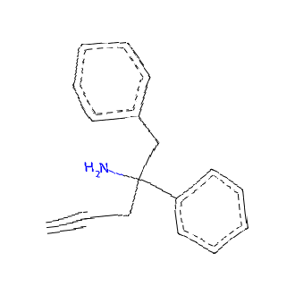 C#CCC(N)(Cc1ccccc1)c1ccccc1